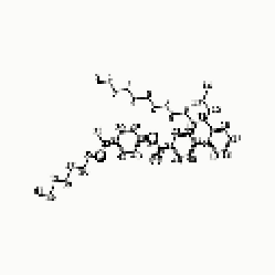 CCCCCCCCCCCC(CCC)c1ccccc1-c1ccc(C(=O)Oc2ccc(C(C)OCCCCCCC)cc2)cc1